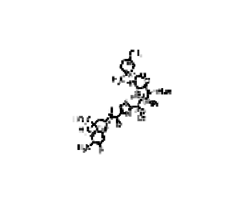 CCCCCCN(C(=O)[C@@H](NC(=O)[C@H]1C[C@H](C)CCN1C)[C@@H](C)CC)[C@H](C[C@@H](OCC)c1nc(C(=O)N[C@@H](Cc2ccc(N)c(F)c2)CC(C)(C)C(=O)O)cs1)C(C)C